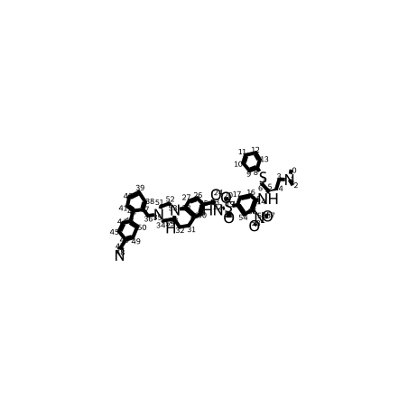 CN(C)CC[C@H](CSc1ccccc1)Nc1ccc(S(=O)(=O)NC(=O)c2ccc3c(c2)CC[C@@H]2CN(Cc4ccccc4-c4ccc(C#N)cc4)CCN32)cc1[N+](=O)[O-]